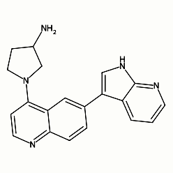 NC1CCN(c2ccnc3ccc(-c4c[nH]c5ncccc45)cc23)C1